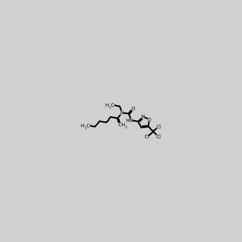 C=C(CCCCC)N(CC)C(=O)Nc1cc(C(Cl)(Cl)Cl)on1